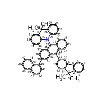 CC1(C)c2ccccc2-c2cc(-c3c4ccccc4c(N4c5ccccc5C(C)(C)c5ccccc54)c4ccc(-c5cccc6ccccc56)cc34)ccc21